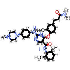 CCN(CC)C(=O)CCc1ccc(Oc2nc(Nc3ccc(N4CCN(C(C)C)CC4)cc3)ncc2C(=O)Nc2c(C)cccc2C)c(OC)c1